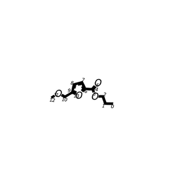 CCCOC(=O)c1ccc(COC)o1